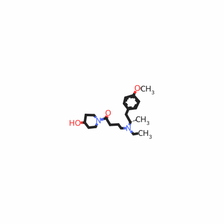 CCN(CCCC(=O)N1CCC(O)CC1)[C@@H](C)Cc1ccc(OC)cc1